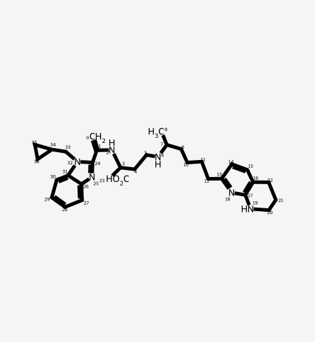 C=C(NC(CCNC(C)CCCCc1ccc2c(n1)NCCC2)C(=O)O)c1nc2ccccc2n1CC1CC1